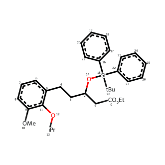 CCOC(=O)CC(CCc1cccc(OC)c1OC(C)C)O[Si](c1ccccc1)(c1ccccc1)C(C)(C)C